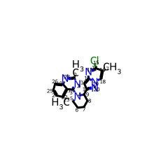 Cc1nc(N2CCCCC2c2cc3nc(Cl)c(C)cn3n2)c2c(C)cccc2n1